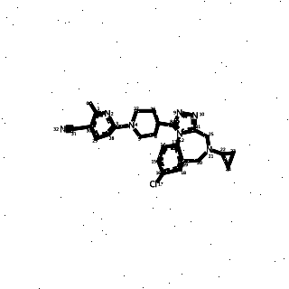 Cc1nc(N2CCC(c3nnc4n3-c3ccc(Cl)cc3CN(C3CC3)C4)CC2)ccc1C#N